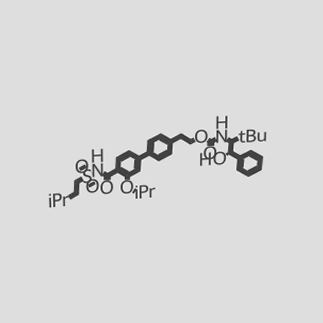 CC(C)CCS(=O)(=O)NC(=O)c1ccc(-c2ccc(CCOC(=O)NC([C@H](O)c3ccccc3)C(C)(C)C)cc2)cc1OC(C)C